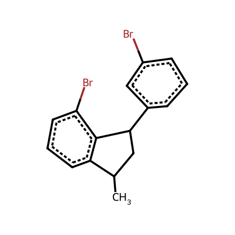 CC1CC(c2cccc(Br)c2)c2c(Br)cccc21